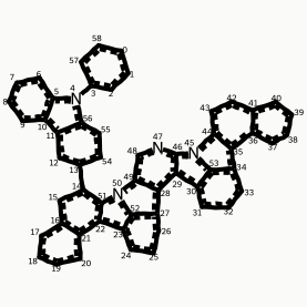 c1ccc(-n2c3ccccc3c3cc(-c4cc5ccccc5c5c6cccc7c8c9c%10cccc%11c%12c%13ccccc%13ccc%12n(c9ncc8n(c45)c76)c%11%10)ccc32)cc1